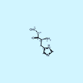 N[C@@H](Cc1cnc[nH]1)C(=O)O[C]=O